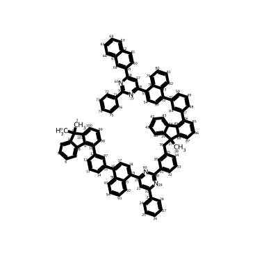 CC1(C)c2ccccc2-c2c(-c3cccc(-c4ccc(-c5cc(-c6ccccc6)nc(-c6cccc(CC7(C)c8ccccc8-c8c(-c9cccc(-c%10ccc(-c%11cc(-c%12ccc%13ccccc%13c%12)nc(-c%12ccccc%12)n%11)c%11ccccc%10%11)c9)cccc87)c6)n5)c5ccccc45)c3)cccc21